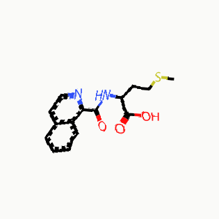 CSCCC(NC(=O)c1nccc2ccccc12)C(=O)O